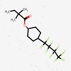 CCC(C)(C)C(=O)OC1CCC(C(F)(F)C(F)(F)C(F)(F)C(F)(F)F)CC1